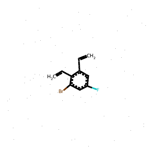 C=Cc1cc(F)cc(Br)c1C=C